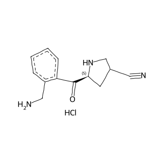 Cl.N#CC1CN[C@H](C(=O)c2ccccc2CN)C1